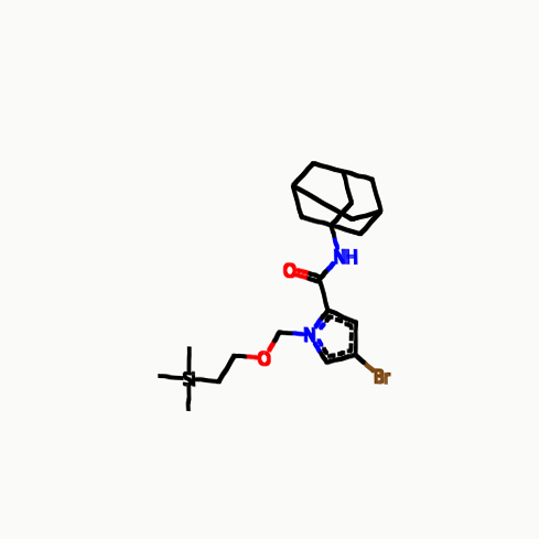 C[Si](C)(C)CCOCn1cc(Br)cc1C(=O)NC12CC3CC(CC(C3)C1)C2